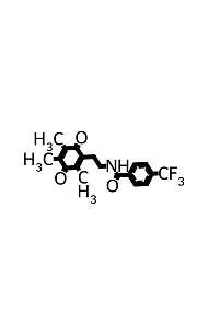 CC1=C(C)C(=O)C(CCNC(=O)c2ccc(C(F)(F)F)cc2)=C(C)C1=O